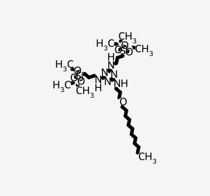 CCCCCCCCCCCCOCCCNc1nc(NCCC[Si](OCC)(OCC)OCC)nc(NCCC[Si](OCC)(OCC)OCC)n1